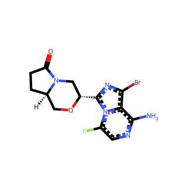 Nc1ncc(F)n2c([C@H]3CN4C(=O)CC[C@@H]4CO3)nc(Br)c12